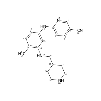 Cc1nnc(Nc2cnc(C#N)cn2)cc1NCC1CCNCC1